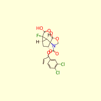 C=CCOC(=O)N1COC(=O)[C@@]12[C@H](OCc1ccc(Cl)c(Cl)c1)C[C@@H]1[C@H]2[C@@]1(F)C(=O)O